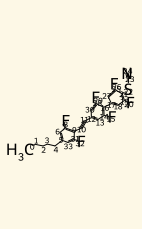 CCCCCc1cc(F)c(C#Cc2cc(F)c(-c3cc(F)c(SC#N)c(F)c3)c(F)c2)c(F)c1